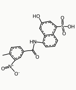 Cc1ccc(C(=O)Nc2cccc3c(S(=O)(=O)O)cc(O)cc23)cc1[N+](=O)[O-]